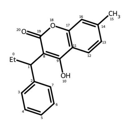 CCC(c1ccccc1)c1c(O)c2ccc(C)cc2oc1=O